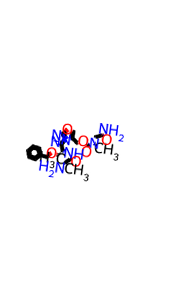 CN(CC(N)=O)C(=O)OCc1coc2nnc([C@@H](COCc3ccccc3)NC(=O)C(C)(C)N)n12